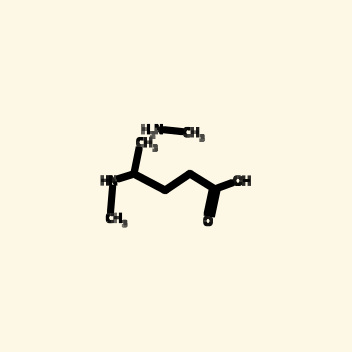 CN.CNC(C)CCC(=O)O